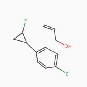 C=CCO.FC1CC1c1ccc(Cl)cc1